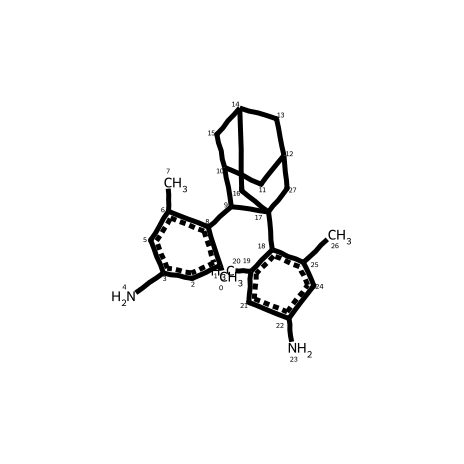 Cc1cc(N)cc(C)c1C1C2CC3CC(C2)CC1(c1c(C)cc(N)cc1C)C3